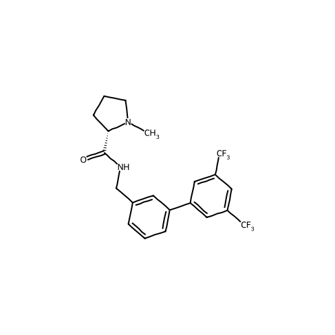 CN1CCC[C@H]1C(=O)NCc1cccc(-c2cc(C(F)(F)F)cc(C(F)(F)F)c2)c1